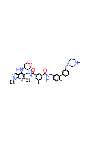 CCc1nc2c(cnn2CC)c(NC2CCOCC2)c1CNC(=O)c1cc(C)cc(C(=O)NCc2ccc(C)c(-c3cccc(CN4CCCN(C)CC4)c3)c2)c1